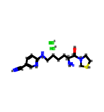 Cl.Cl.N#Cc1ccc(NCCCC[C@H](N)C(=O)N2CCSC2)nc1